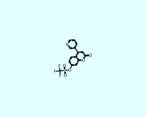 O=c1cc(-c2cccnc2)c2ccc(OS(=O)(=O)C(F)(F)F)cc2o1